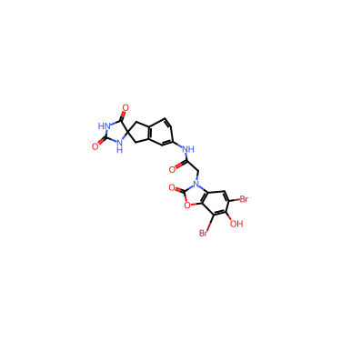 O=C(Cn1c(=O)oc2c(Br)c(O)c(Br)cc21)Nc1ccc2c(c1)CC1(C2)NC(=O)NC1=O